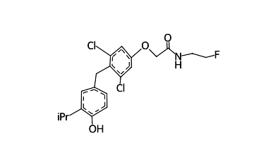 CC(C)c1cc(Cc2c(Cl)cc(OCC(=O)NCCF)cc2Cl)ccc1O